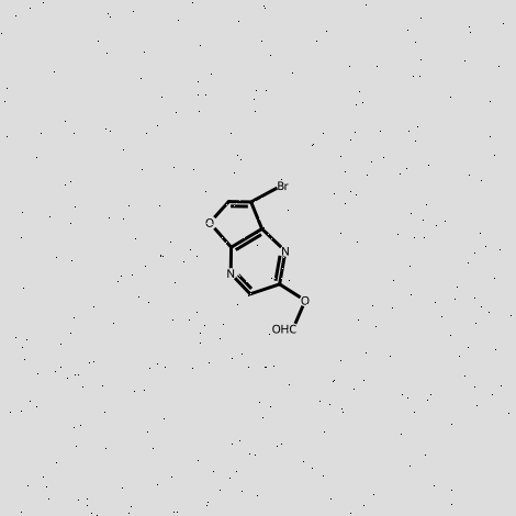 O=COc1cnc2occ(Br)c2n1